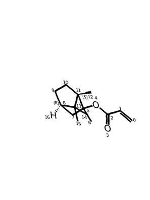 C=CC(=O)OC1(C)C[C@H]2CC[C@@]1(C)C2(C)C